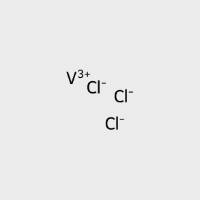 [Cl-].[Cl-].[Cl-].[V+3]